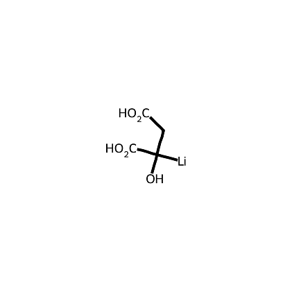 [Li][C](O)(CC(=O)O)C(=O)O